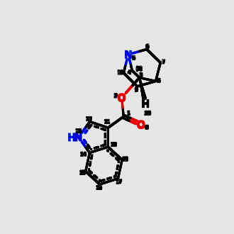 O=C(O[C@@H]1CN2CCC1CC2)c1c[nH]c2ccccc12